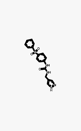 O=C(NCc1cn[nH]c1)Nc1ccc(S(=O)(=O)c2ccccc2)cc1